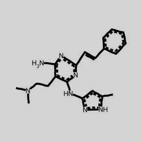 Cc1cc(Nc2nc(C=Cc3ccccc3)nc(N)c2CCN(C)C)n[nH]1